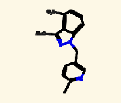 COc1nn(Cc2ccc(C)nc2)c2cccc([N+](=O)[O-])c12